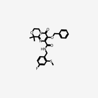 CSc1cc(F)ccc1CNC(=O)c1nc2n(c(=O)c1OCc1ccccc1)CCOC2(C)C